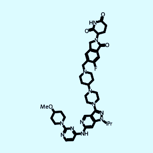 COC1CCN(c2nccc(Nc3cc4c(cn3)c(N3CCN(C5CCN(Cc6cc7c(cc6F)C(=O)N(C6CCC(=O)NC6=O)C7)CC5)CC3)nn4C(C)C)n2)CC1